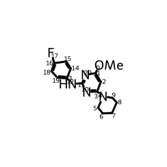 COc1cc(N2CCCCC2)nc(Nc2ccc(F)cc2)n1